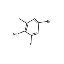 Cc1cc(Br)cc(F)c1C#N